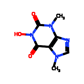 Cn1cnc2c1c(=O)n(O)c(=O)n2C